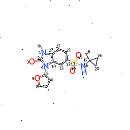 Cn1c(=O)n(-c2ccco2)c2cc(S(=O)(=O)NC3(C)CC3)ccc21